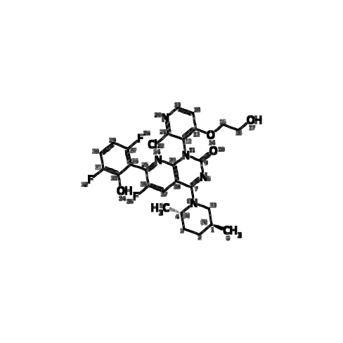 C[C@H]1CC[C@H](C)N(c2nc(=O)n(-c3c(OCCO)ccnc3Cl)c3nc(-c4c(F)ccc(F)c4O)c(F)cc23)C1